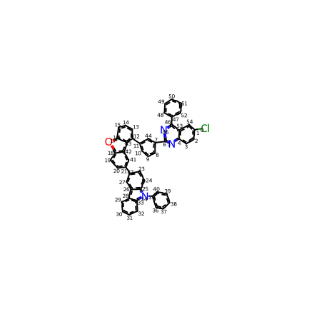 Clc1ccc2nc(-c3cccc(-c4cccc5oc6ccc(-c7ccc8c(c7)c7ccccc7n8-c7ccccc7)cc6c45)c3)nc(-c3ccccc3)c2c1